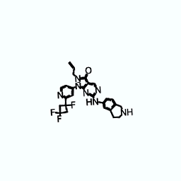 C=CCn1c(=O)c2cnc(Nc3ccc4c(c3)CCNC4)nc2n1-c1ccnc(C2(F)CC(F)(F)C2)c1